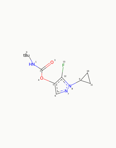 CC(C)(C)NC(=O)Oc1cnn(C2CC2)c1F